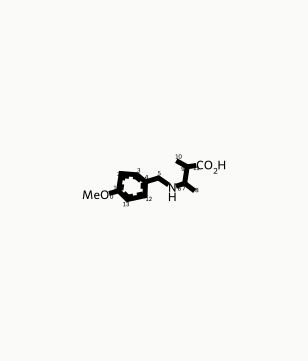 COc1ccc(CNC(C)C(C)C(=O)O)cc1